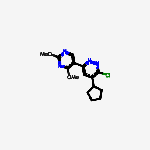 COc1ncc(-c2cc(C3CCCC3)c(Cl)nn2)c(OC)n1